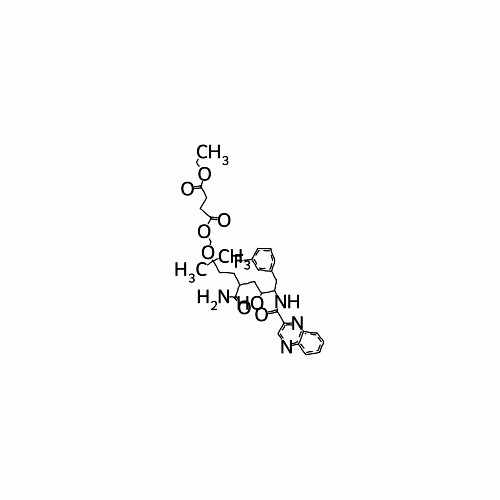 CCOC(=O)CCC(=O)OCOC(C)(C)CCC(CC(O)C(Cc1cccc(F)c1)NC(=O)c1cnc2ccccc2n1)C(N)=O